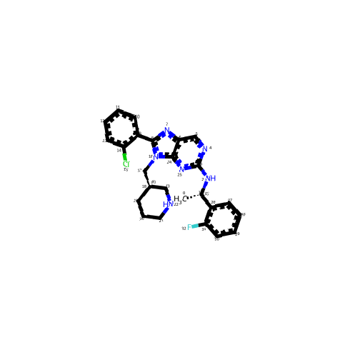 C[C@H](Nc1ncc2nc(-c3ccccc3Cl)n(C[C@@H]3CCCNC3)c2n1)c1ccccc1F